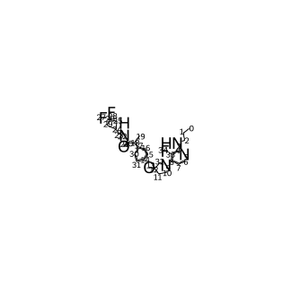 CCCNc1nccc(N2CC[C@@H](Oc3ccc(C(C)C(=O)NCC4CC(F)(F)C4)cc3)C2)c1F